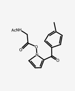 CC(=O)NCC(=O)On1cccc1C(=O)c1ccc(C)cc1